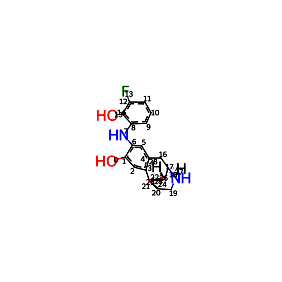 Oc1cc2c(cc1Nc1cccc(F)c1O)C[C@H]1NCC[C@@]23CCCC[C@@H]13